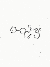 CCON(C(=O)c1ccccc1C(=O)O)c1ccc(-c2ccccc2)cc1F